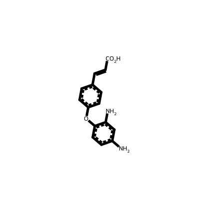 Nc1ccc(Oc2ccc(C=CC(=O)O)cc2)c(N)c1